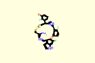 N/C1=C\NCc2c(c(F)cc3[nH]ccc23)Oc2ccc(F)c(c2)-c2ncc([nH]2)C(c2cccc(Br)c2F)CCSCC1